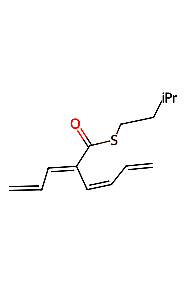 C=C/C=C\C(=C/C=C)C(=O)SCCC(C)C